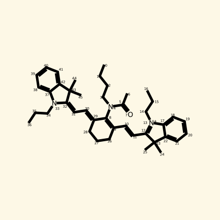 CCCCN(C(C)=O)C1=C(/C=C/C2=[N+](CCC)c3ccccc3C2(C)C)CCC/C1=C\C=C1\N(CCC)c2ccccc2C1(C)C